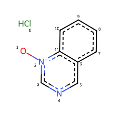 Cl.[O-][n+]1cncc2ccccc21